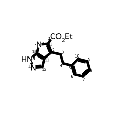 CCOC(=O)C1=C(CCc2ccccc2)c2cn[nH]c2[N]1